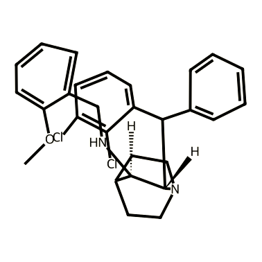 COc1ccccc1CN[C@@H]1C2CCN(CC2)[C@H]1C(c1ccccc1)c1cccc(Cl)c1Cl